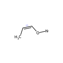 C/C=C\O[N]